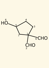 O=CC1(C=O)CCC(O)C1